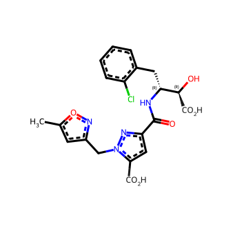 Cc1cc(Cn2nc(C(=O)N[C@H](Cc3ccccc3Cl)[C@@H](O)C(=O)O)cc2C(=O)O)no1